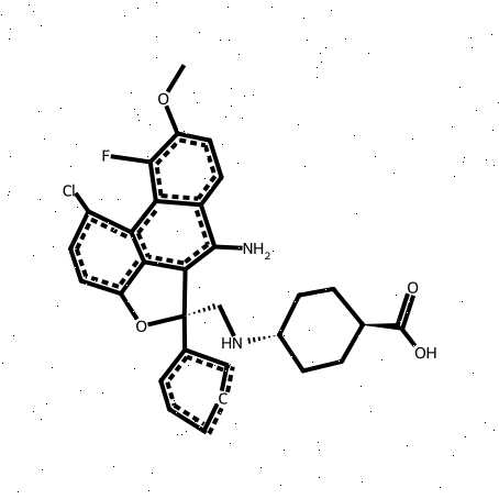 COc1ccc2c(N)c3c4c(ccc(Cl)c4c2c1F)O[C@]3(CN[C@H]1CC[C@H](C(=O)O)CC1)c1ccccc1